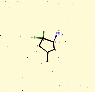 C[C@@H]1C[C@H](N)C(F)(F)C1